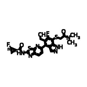 CCc1c(F)c(SCC(=O)N(C)C)c2[nH]ncc2c1-c1ccc2nc(NC(=O)[C@@H]3C[C@@H]3F)sc2n1